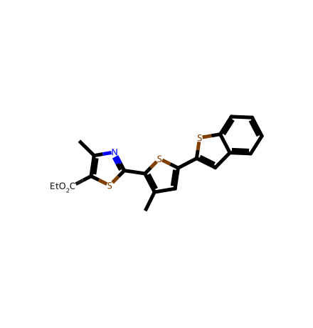 CCOC(=O)c1sc(-c2sc(-c3cc4ccccc4s3)cc2C)nc1C